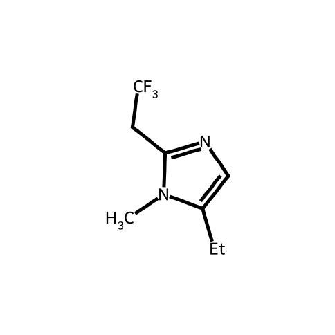 CCc1cnc(CC(F)(F)F)n1C